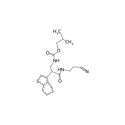 CC(C)COC(=O)NCC(C(=O)NCCC#N)c1csc2ccccc12